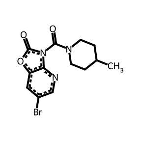 CC1CCN(C(=O)n2c(=O)oc3cc(Br)cnc32)CC1